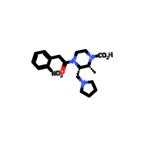 C[C@@H]1[C@H](CN2CCCC2)N(C(=O)Cc2ccccc2[N+](=O)[O-])CCN1C(=O)O